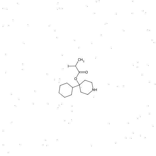 CC(I)C(=O)OC1(C2CCCCC2)CCNCC1